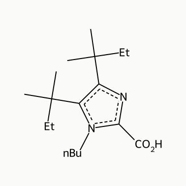 CCCCn1c(C(=O)O)nc(C(C)(C)CC)c1C(C)(C)CC